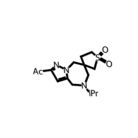 CC(=O)c1cc2n(n1)CC1(CCS(=O)(=O)C1)CN(C(C)C)C2